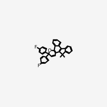 CC1(C)c2ccccc2-c2c1c1c(c3ccccc23)OC(c2ccc(F)cc2)(c2ccc(F)cc2)C=C1